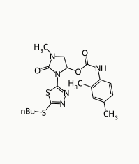 CCCCSc1nnc(N2C(=O)N(C)CC2OC(=O)Nc2ccc(C)cc2C)s1